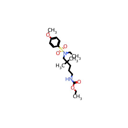 CCOC(=O)NCCCC(C)(C)CN(CC)S(=O)(=O)c1ccc(OC)cc1